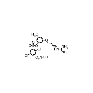 Cc1cc(OCCC=NNC(=N)N)cc(OS(=O)(=O)c2cc(Cl)ccc2Cl)c1.O=[N+]([O-])O